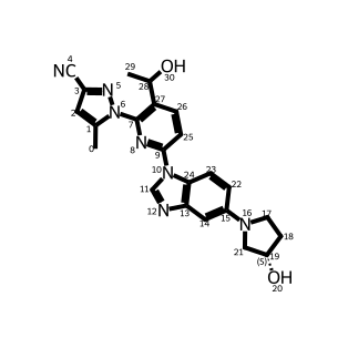 Cc1cc(C#N)nn1-c1nc(-n2cnc3cc(N4CC[C@H](O)C4)ccc32)ccc1C(C)O